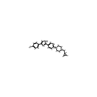 Fc1ccc(-c2c[nH]c(-c3ccc(N4CCN(CC5CC5)CC4)nc3)n2)cc1